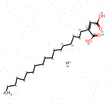 CCCCCCCCCCCCCCCCCC/C(=C/C(=O)O)C(=O)O.[H+]